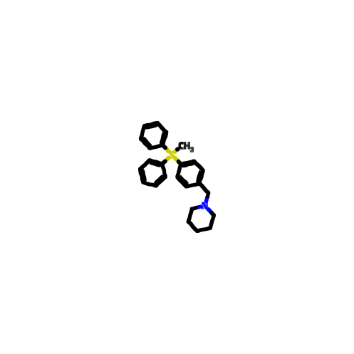 CS(c1ccccc1)(c1ccccc1)c1ccc(CN2CCCCC2)cc1